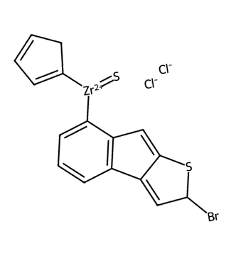 [Cl-].[Cl-].[S]=[Zr+2]([C]1=CC=CC1)[c]1cccc2c1C=C1SC(Br)C=C12